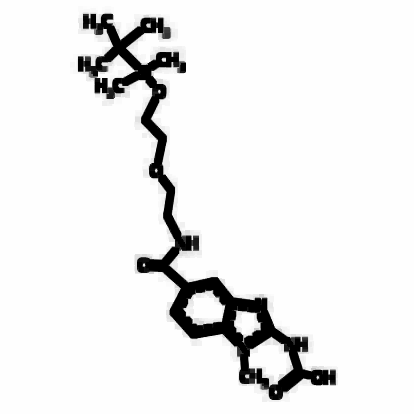 Cn1c(NC(=O)O)nc2cc(C(=O)NCCOCCO[Si](C)(C)C(C)(C)C)ccc21